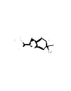 CC1(N)C=c2sc(C(N)=O)cc2=CC1